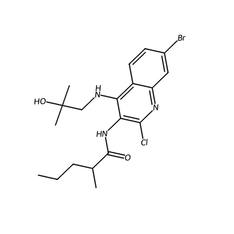 CCCC(C)C(=O)Nc1c(Cl)nc2cc(Br)ccc2c1NCC(C)(C)O